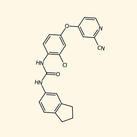 N#Cc1cc(Oc2ccc(NC(=O)Nc3ccc4c(c3)CCC4)c(Cl)c2)ccn1